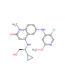 COc1cc(Nc2ccc3c(c2)c(N[C@H](CO)C2CC2)cc(=O)n3C)c(Cl)cn1